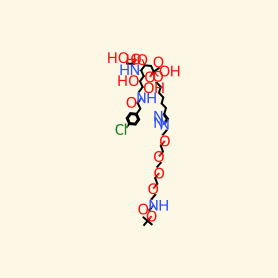 CC(C)(C)OC(=O)NCCOCCOCCOCCOCCn1cc(CCCCCCO[C@]2(C(=O)O)C[C@H](O)[C@@H](NC(=O)CO)[C@H]([C@H](O)[C@H](O)CNC(=O)Cc3ccc(Cl)cc3)O2)nn1